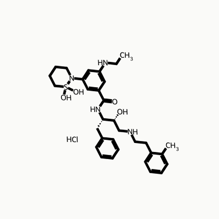 CCNc1cc(C(=O)N[C@@H](Cc2ccccc2)[C@H](O)CNCCc2ccccc2C)cc(N2CCCCS2(O)O)c1.Cl